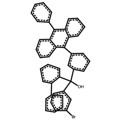 OC(c1cccc(Br)c1)(c1cccc(-c2c3ccccc3c(-c3ccccc3)c3ccccc23)c1)c1ccccc1-c1ccccc1